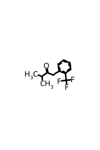 CC(C)C(=O)Cc1ccccc1C(F)(F)F